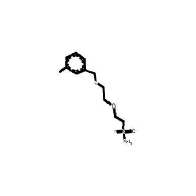 Cc1cccc(COCCOCCS(N)(=O)=O)c1